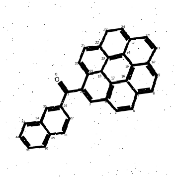 O=C(C1=Cc2ccc3ccc4ccc5c6c4c3c2C2C1=CC=C(CC=5)C=62)c1ccc2ccccc2c1